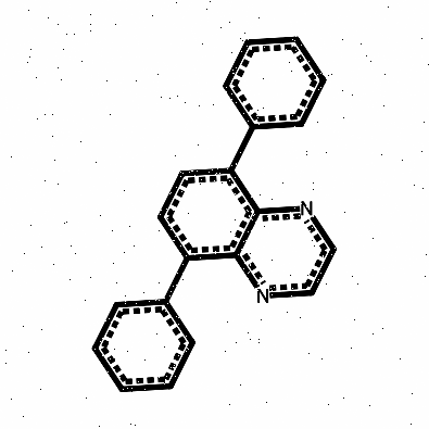 c1ccc(-c2ccc(-c3ccccc3)c3nccnc23)cc1